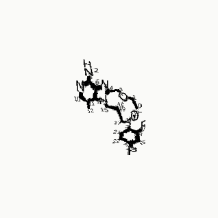 CCOCc1nc2c(N)ncc(C)c2n1CCC[S+]([O-])c1ccc(F)cc1F